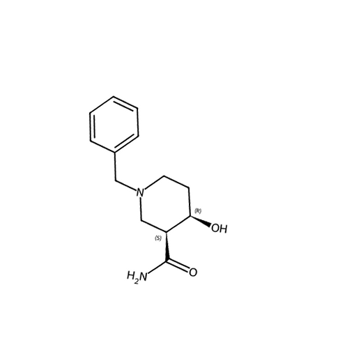 NC(=O)[C@H]1CN(Cc2ccccc2)CC[C@H]1O